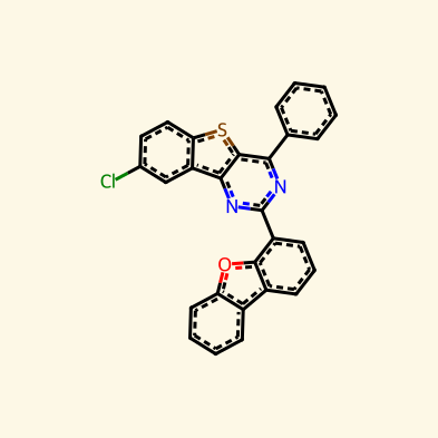 Clc1ccc2sc3c(-c4ccccc4)nc(-c4cccc5c4oc4ccccc45)nc3c2c1